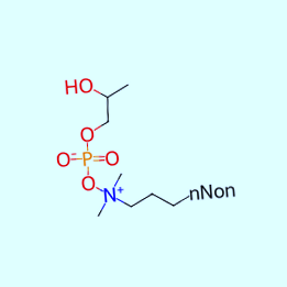 CCCCCCCCCCCC[N+](C)(C)OP(=O)([O-])OCC(C)O